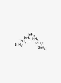 [InH3].[InH3].[InH3].[InH3].[SnH2].[SnH2].[SnH2]